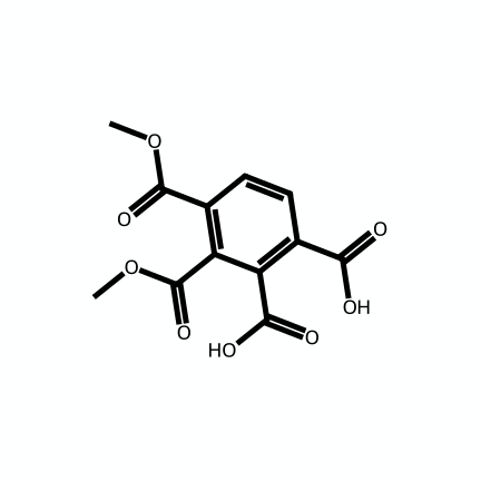 COC(=O)c1ccc(C(=O)O)c(C(=O)O)c1C(=O)OC